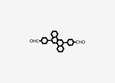 O=Cc1ccc(-c2cc3c4ccccc4c(-c4ccc(C=O)cc4)cc3c3ccccc23)cc1